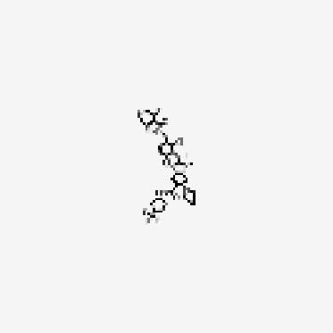 Cn1c(Nc2c(Cl)ccc(CNC(=O)c3c(F)cncc3F)c2Cl)nc2cc(C(=O)N[C@H]3CC[C@H](C(F)(F)F)CC3)c(N3CC4CC4C3)cc21